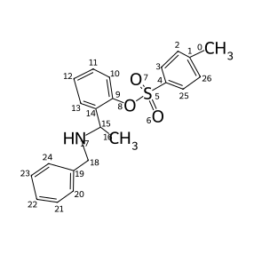 Cc1ccc(S(=O)(=O)Oc2ccccc2C(C)NCc2ccccc2)cc1